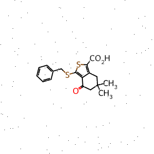 CC1(C)CC(=O)c2c(SCc3ccccc3)sc(C(=O)O)c2C1